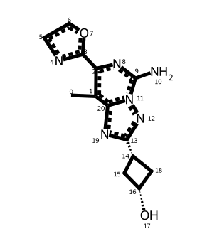 Cc1c(-c2ncco2)nc(N)n2nc([C@H]3C[C@@H](O)C3)nc12